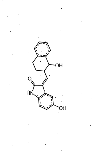 O=C1Nc2ccc(O)cc2C1=CC1CCc2ccccc2C1O